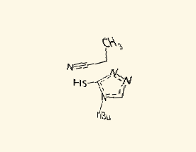 CCC#N.CCCCn1cnnc1S